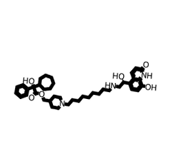 O=C(OCC1CCN(CCCCCCCCCNC[C@H](O)c2ccc(O)c3[nH]c(=O)ccc23)CC1)C(O)(c1ccccc1)C1CCCCCC1